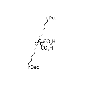 CCCCCCCCCCCCCCCCOOCCCCCCCCCCCCCCCC.O=C(O)OC(=O)O